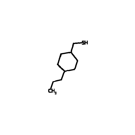 CCCC1CCC(CS)CC1